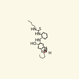 CCCCNC(=S)Nc1ccccc1Nc1cc2c(cc1O)[C@]13CCCC[C@@H]1[C@H](C2)NCC3